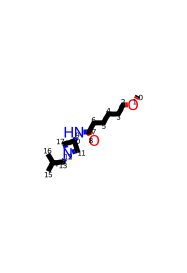 COCCCCCC(=O)NC1CN(CC(C)C)C1